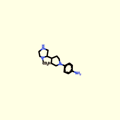 Nc1ccc(N2CCC(C3CNCCN3C(=O)O)CC2)cc1